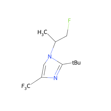 CC(CF)n1cc(C(F)(F)F)nc1C(C)(C)C